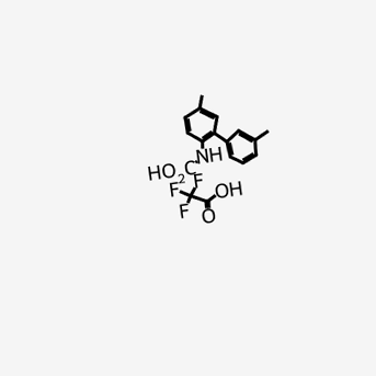 Cc1cccc(-c2cc(C)ccc2NC(=O)O)c1.O=C(O)C(F)(F)F